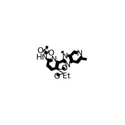 CCS(=O)(=O)c1ccc(NS(C)(=O)=O)nc1-c1nc2cc(C)ncc2n1C